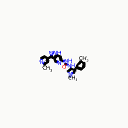 Cc1cccc([C@@H]2CN(C)C[C@H]2NC(=O)Nc2cc3[nH]nc(-c4ccnc(C)c4)c3cn2)c1